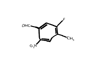 Cc1cc([N+](=O)[O-])c(C=O)cc1F